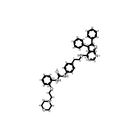 O=C(Nc1ccc(CCNc2ncnc3oc(-c4ccccc4)c(-c4ccccc4)c23)cc1)Nc1ccccc1OCCN1CCOCC1